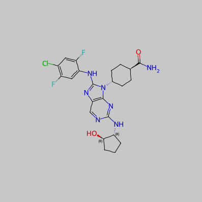 NC(=O)[C@H]1CC[C@H](n2c(Nc3cc(F)c(Cl)cc3F)nc3cnc(N[C@@H]4CCC[C@H]4O)nc32)CC1